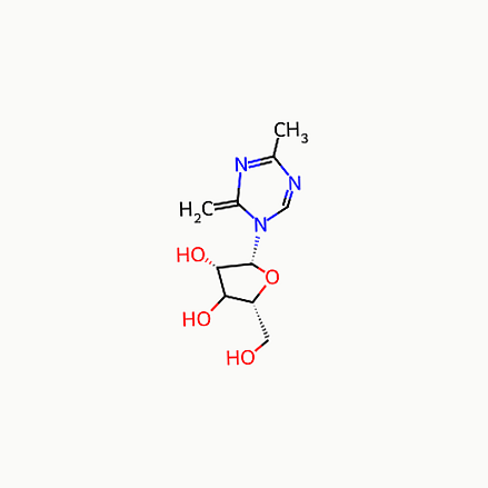 C=C1N=C(C)N=CN1[C@@H]1O[C@H](CO)C(O)[C@@H]1O